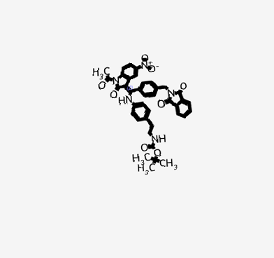 CC(=O)N1C(=O)/C(=C(\Nc2ccc(CCNC(=O)OC(C)(C)C)cc2)c2ccc(CN3C(=O)c4ccccc4C3=O)cc2)c2cc([N+](=O)[O-])ccc21